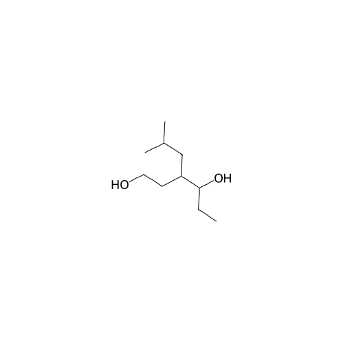 CCC(O)C(CCO)CC(C)C